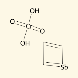 C1=[CH][Sb]=[CH]1.[O]=[Cr](=[O])([OH])[OH]